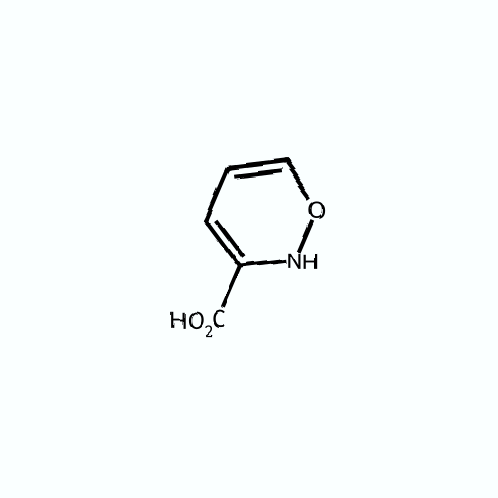 O=C(O)C1=CC=CON1